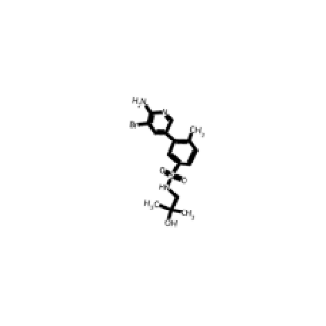 Cc1ccc(S(=O)(=O)NCC(C)(C)O)cc1-c1cnc(N)c(Br)c1